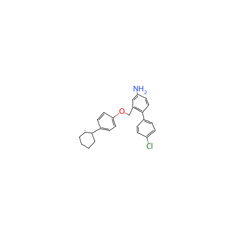 Nc1ccc(-c2ccc(Cl)cc2)c(COc2ccc(C3[CH]CCCC3)cc2)c1